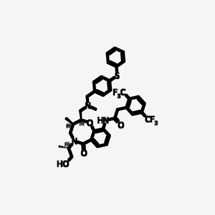 C[C@@H]1CN([C@@H](C)CO)C(=O)c2cccc(NC(=O)Cc3cc(C(F)(F)F)ccc3C(F)(F)F)c2O[C@@H]1CN(C)Cc1ccc(Sc2ccccc2)cc1